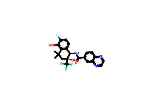 CC1(C)C[C@@](O)(C(F)(F)F)[C@H](NC(=O)c2ccc3nccnc3c2)c2ccc(F)c(O)c21